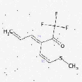 C=C/C=C(\C=C/SC)C(=O)C(F)(F)F